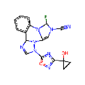 N#CN1C=C2N(c3ccccc3C3N=CN(c4nc(C5(O)CC5)no4)N23)C1F